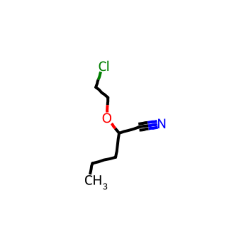 CCCC(C#N)OCCCl